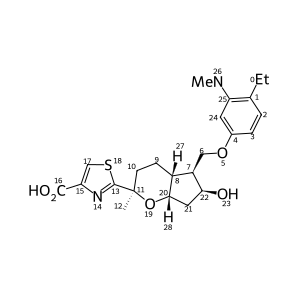 CCc1ccc(OC[C@@H]2[C@H]3CC[C@](C)(c4nc(C(=O)O)cs4)O[C@H]3C[C@@H]2O)cc1NC